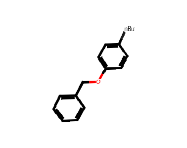 CCCCc1ccc(O[CH]c2ccccc2)cc1